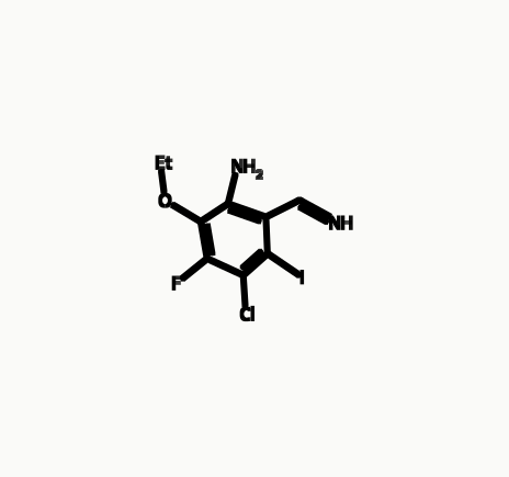 CCOc1c(N)c(C=N)c(I)c(Cl)c1F